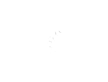 Clc1ccc(-c2cccs2)cc1CNC1CC1